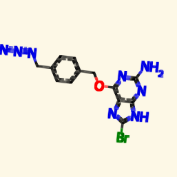 [N-]=[N+]=NCc1ccc(COc2nc(N)nc3[nH]c(Br)nc23)cc1